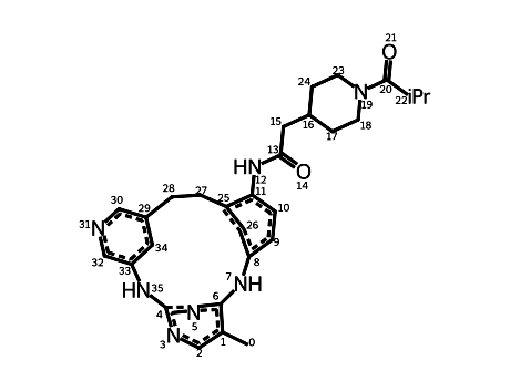 Cc1cnc2nc1Nc1ccc(NC(=O)CC3CCN(C(=O)C(C)C)CC3)c(c1)CCc1cncc(c1)N2